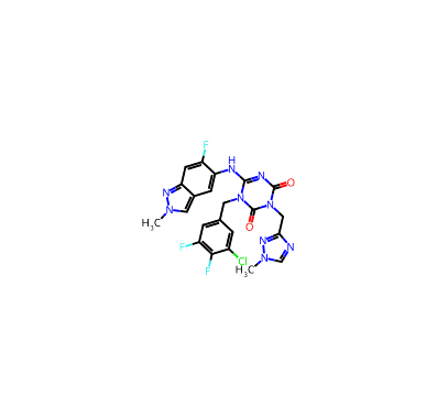 Cn1cnc(Cn2c(=O)nc(Nc3cc4cn(C)nc4cc3F)n(Cc3cc(F)c(F)c(Cl)c3)c2=O)n1